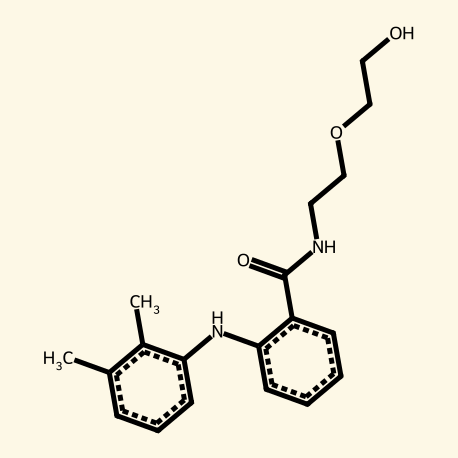 Cc1cccc(Nc2ccccc2C(=O)NCCOCCO)c1C